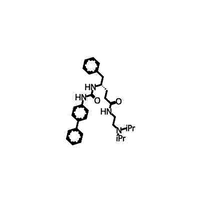 CC(C)N(CCNC(=O)CC[C@@H](Cc1ccccc1)NC(=O)Nc1ccc(-c2ccccc2)cc1)C(C)C